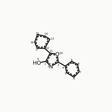 Oc1nc(-c2ccccc2)oc1-c1ccccc1